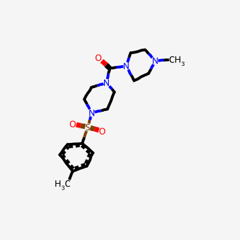 Cc1ccc(S(=O)(=O)N2CCN(C(=O)N3CCN(C)CC3)CC2)cc1